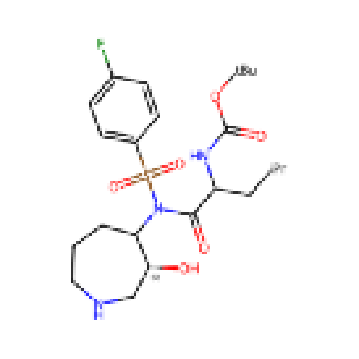 CC(C)CC(NC(=O)OC(C)(C)C)C(=O)N(C1CCCNC[C@@H]1O)S(=O)(=O)c1ccc(F)cc1